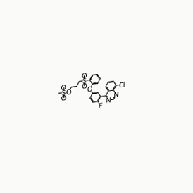 CS(=O)(=O)OCCCS(=O)(=O)c1ccccc1Oc1ccc(F)c(-c2ncnc3c(Cl)cccc23)c1